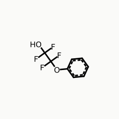 OC(F)(F)C(F)(F)Oc1ccccc1